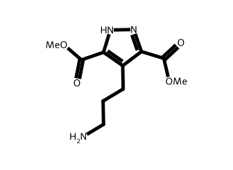 COC(=O)c1n[nH]c(C(=O)OC)c1CCCN